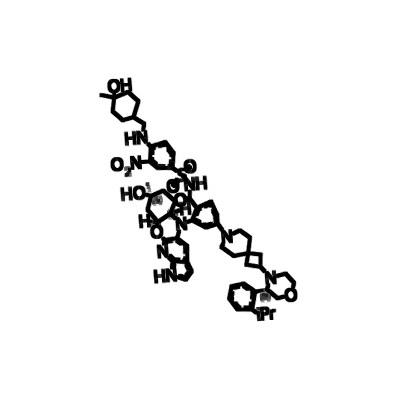 CC(C)c1ccccc1[C@@H]1COCCN1C1CC2(CCN(c3ccc(C(=O)NS(=O)(=O)c4ccc(NCC5CCC(C)(O)CC5)c([N+](=O)[O-])c4)c(N4c5cc6cc[nH]c6nc5O[C@H]5C[C@@](C)(O)CC[C@@H]54)c3)CC2)C1